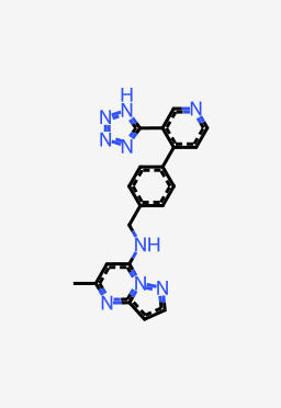 Cc1cc(NCc2ccc(-c3ccncc3-c3nnn[nH]3)cc2)n2nccc2n1